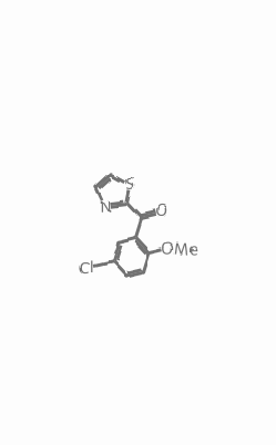 COc1ccc(Cl)cc1C(=O)c1nccs1